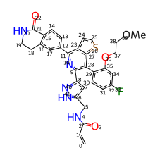 C=CC(=O)NCc1cc(-c2nc(-c3ccc4c(c3)CCNC4=O)c3ccsc3c2-c2ccc(F)cc2OCCOC)n[nH]1